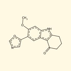 COc1cc2[nH]c3c(c2cc1-c1cnco1)C(=O)CCC3